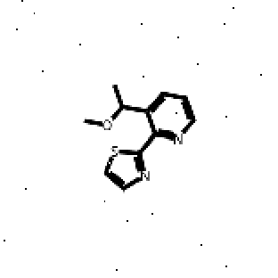 COC(C)c1cccnc1-c1n[c]cs1